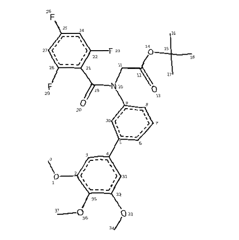 COc1cc(-c2cccc(N(CC(=O)OC(C)(C)C)C(=O)c3c(F)cc(F)cc3F)c2)cc(OC)c1OC